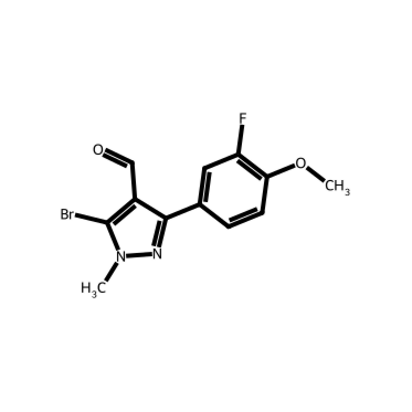 COc1ccc(-c2nn(C)c(Br)c2C=O)cc1F